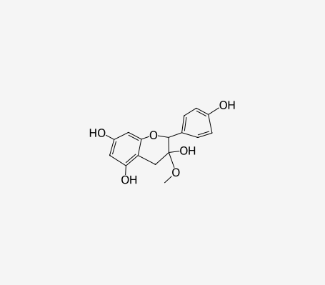 COC1(O)Cc2c(O)cc(O)cc2OC1c1ccc(O)cc1